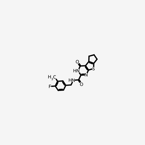 Cc1cc(CNC(=O)c2nc3sc4c(c3c(=O)[nH]2)CCC4)ccc1F